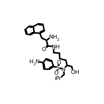 CC(C)CN(C(CO)CCCCNC(=O)C(N)Cc1cccc2ccccc12)S(=O)(=O)c1ccc(N)cc1